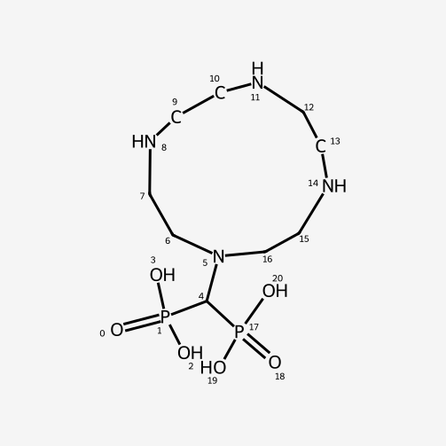 O=P(O)(O)C(N1CCNCCNCCNCC1)P(=O)(O)O